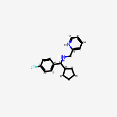 Fc1ccc(C(NCc2ccccn2)C2CCCC2)cc1